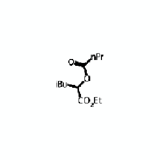 CCCC(=O)OC(C(=O)OCC)C(C)CC